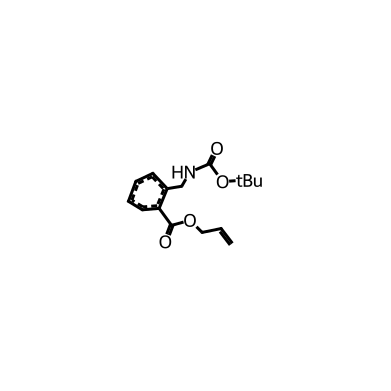 C=CCOC(=O)c1ccccc1CNC(=O)OC(C)(C)C